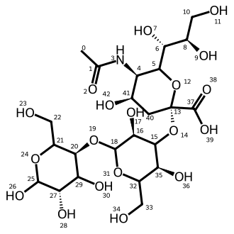 CC(=O)N[C@H]1C([C@H](O)[C@H](O)CO)O[C@@](OC2[C@H](O)C(O[C@@H]3C(CO)OC(O)[C@@H](O)C3O)OC(CO)[C@@H]2O)(C(=O)O)C[C@H]1O